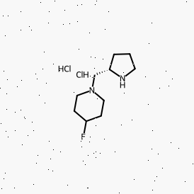 Cl.Cl.FC1CCN(C[C@@H]2CCCN2)CC1